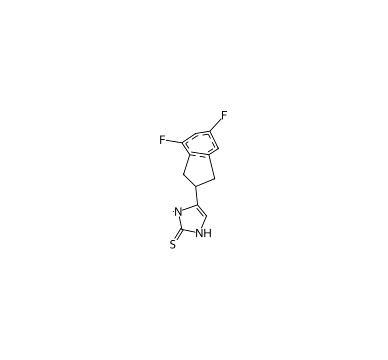 Fc1cc(F)c2c(c1)CC(C1=CNC(=S)[N]1)C2